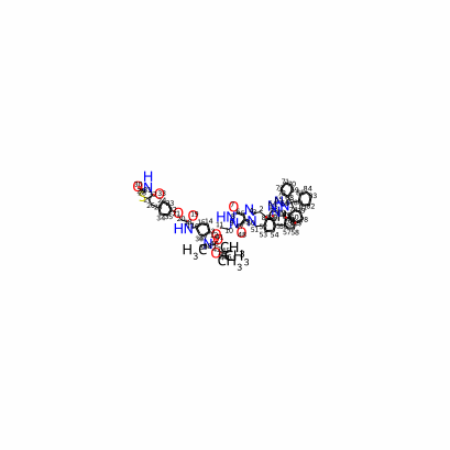 CCCc1nc2c(=O)[nH]n(CCOc3ccc(NC(=O)COc4ccc(CC5SC(=O)NC5=O)cc4)cc3N(C)C(=O)OC(C)(C)C)c(=O)c2n1Cc1ccc(-c2ccccc2-c2nnnn2C(c2ccccc2)(c2ccccc2)c2ccccc2)cc1